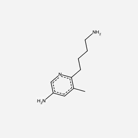 Cc1cc(N)cnc1CCCCN